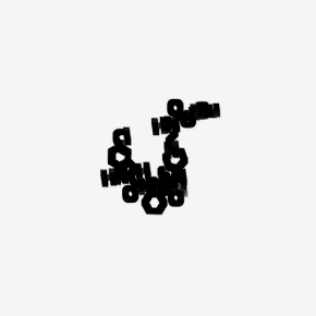 CC(C)(C)OC(=O)NCCN1CCc2nc(C(=O)C3(N)CCCCC3NC(=O)c3cc4cc(Cl)ccc4[nH]3)sc2C1